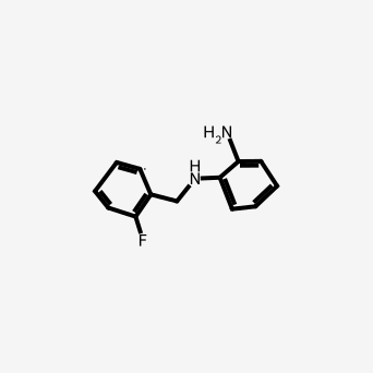 Nc1ccccc1NCc1[c]cccc1F